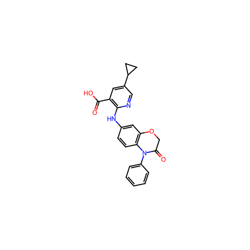 O=C(O)c1cc(C2CC2)cnc1Nc1ccc2c(c1)OCC(=O)N2c1ccccc1